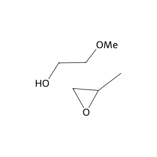 CC1CO1.COCCO